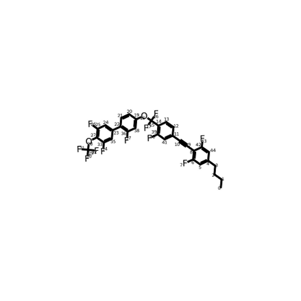 CCCCc1cc(F)c(C#Cc2ccc(C(F)(F)Oc3ccc(-c4cc(F)c(OC(F)(F)F)c(F)c4)c(F)c3)c(F)c2)c(F)c1